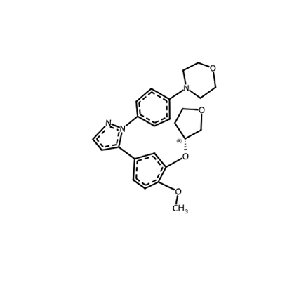 COc1ccc(-c2ccnn2-c2ccc(N3CCOCC3)cc2)cc1O[C@@H]1CCOC1